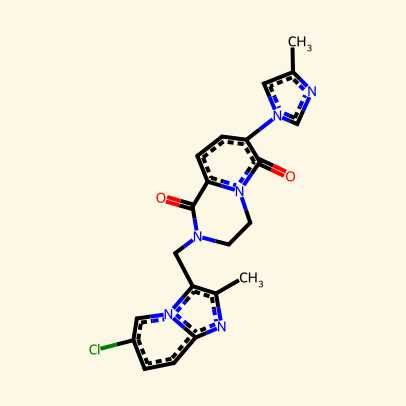 Cc1cn(-c2ccc3n(c2=O)CCN(Cc2c(C)nc4ccc(Cl)cn24)C3=O)cn1